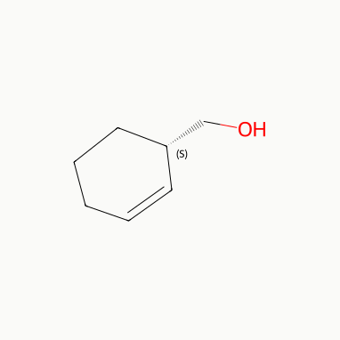 OC[C@@H]1C=CCCC1